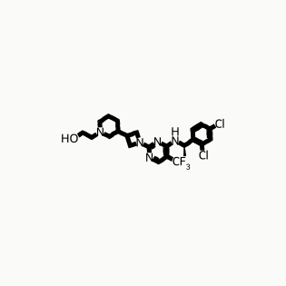 C[C@@H](Nc1nc(N2CC(C3CCCN(CCO)C3)C2)ncc1C(F)(F)F)c1ccc(Cl)cc1Cl